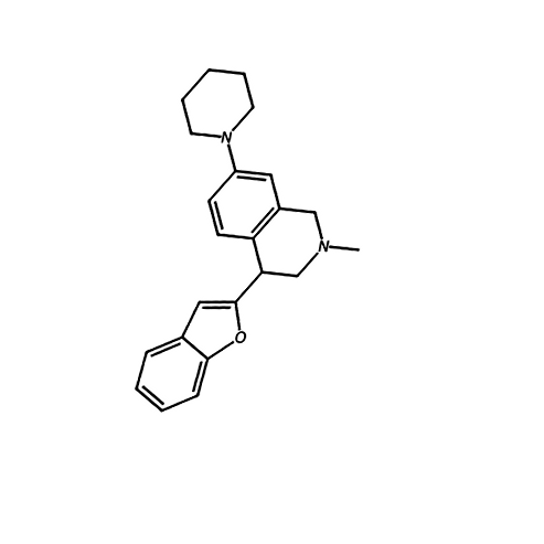 CN1Cc2cc(N3CCCCC3)ccc2C(c2cc3ccccc3o2)C1